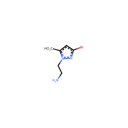 NCCn1nc(Br)cc1C(=O)O